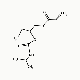 C=CC(=O)OCC(CC)OC(=O)NC(C)C